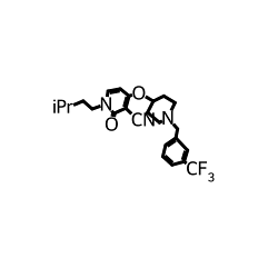 CC(C)CCn1ccc(OC2CCN(Cc3cccc(C(F)(F)F)c3)CC2)c(C#N)c1=O